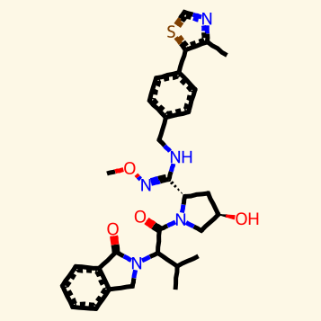 CON=C(NCc1ccc(-c2scnc2C)cc1)[C@@H]1C[C@@H](O)CN1C(=O)C(C(C)C)N1Cc2ccccc2C1=O